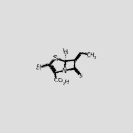 C/C=C1\C(=S)N2C(C(=O)O)=C(CC)S[C@@H]12